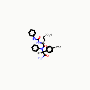 COc1ccc(C(C(N)=O)(C(C)C)N(C(=O)[C@H](CCC(=O)O)NC(=O)Nc2ccccc2)c2ccccc2)cc1